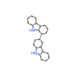 [c]1c(-c2cccc3c2[nH]c2ccccc23)ccc2[nH]c3ccccc3c12